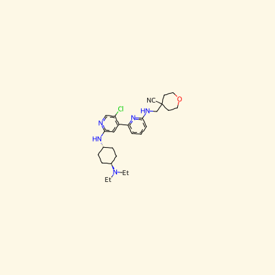 CCN(CC)[C@H]1CC[C@H](Nc2cc(-c3cccc(NCC4(C#N)CCOCC4)n3)c(Cl)cn2)CC1